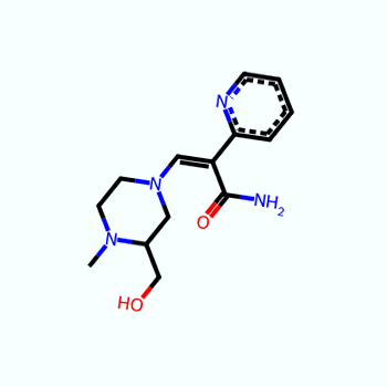 CN1CCN(C=C(C(N)=O)c2ccccn2)CC1CO